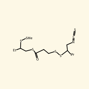 CCC(CSC(=O)CCSSC(CN=C=S)C(C)C)SSC